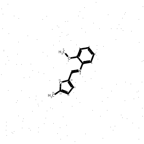 COc1ccccc1/N=C/c1ccc(C)o1